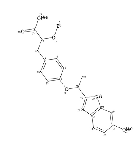 CCOC(Cc1ccc(OC(C)c2nc3ccc(OC)cc3[nH]2)cc1)C(=O)OC